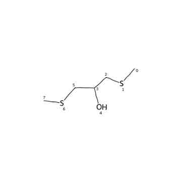 CSCC(O)CSC